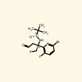 CC(C)(C)[S@@+]([O-])N[C@@](CF)(CC=O)c1nc(Br)ccc1F